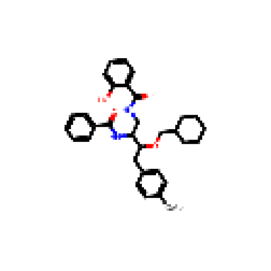 COc1ccc(CC(OCC2CCCCC2)C(CNC(=O)c2ccccc2O)NC(=O)c2ccccc2)cc1